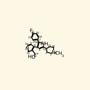 CN1CCC(c2cc(-c3ccncc3CO)c(-c3ccc(F)cc3)[nH]2)CC1